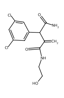 C=C(C(=O)NCCO)C(C(N)=O)c1cc(Cl)cc(Cl)c1